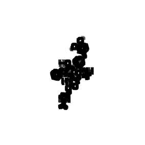 COc1ccc(CN2CCN(C[C@H](O)[C@H](Cc3ccccc3)NC(=O)[C@@H](NC(=O)OCc3csc(C(C)C)n3)C(C)C)[C@H](C(=O)NC(C)(C)C)C2)cc1OC